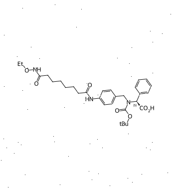 CCONC(=O)CCCCCCC(=O)Nc1ccc(CN(C(=O)OC(C)(C)C)[C@H](C(=O)O)c2ccccc2)cc1